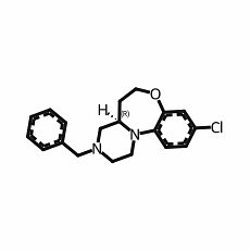 Clc1ccc2c(c1)OCC[C@@H]1CN(Cc3ccccc3)CCN21